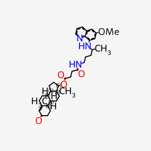 COc1cc(NC(C)CCCNC(=O)CCC(=O)O[C@H]2CC[C@H]3[C@@H]4CCC5=CC(=O)CC[C@]5(C)[C@H]4CC[C@]23C)c2ncccc2c1